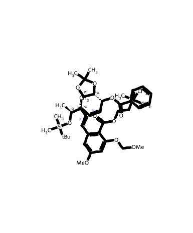 COCOc1cc(OC)cc(/C=C/C[C@@H]2OC(C)(C)O[C@@H]2C(/C=C\[C@H](C)[C@H](C)O[Si](C)(C)C(C)(C)C)OC(=O)c2ccccc2)c1C(=O)OCC[Si](C)(C)C